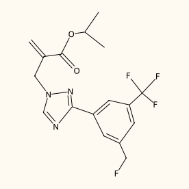 C=C(Cn1cnc(-c2cc(CF)cc(C(F)(F)F)c2)n1)C(=O)OC(C)C